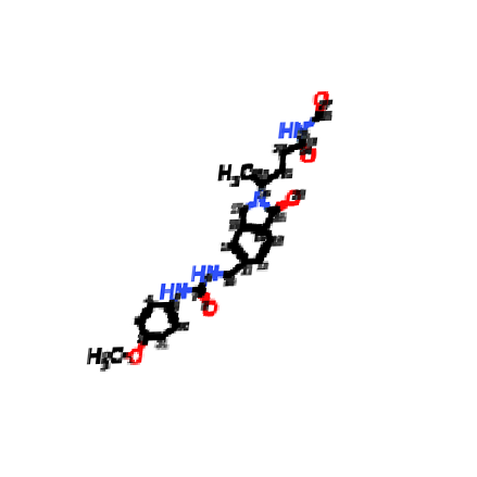 COc1ccc(NC(=O)NCc2ccc3c(c2)CN(C(C)CCC(=O)NC=O)C3=O)cc1